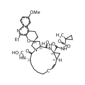 CCc1nc2ccc(OC)cc2c2c1O[C@]1(CC2)C[C@H]2C(=O)N[C@]3(C(=O)NS(=O)(=O)C4(C)CC4)C[C@H]3C=CCCCCC[C@H](NC(=O)O)C(=O)N2C1